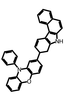 C1=CC(c2ccc3c(c2)N(c2ccccc2)c2ccccc2O3)Cc2[nH]c3ccc4ccccc4c3c21